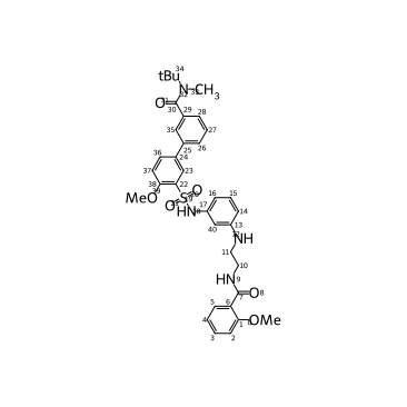 COc1ccccc1C(=O)NCCNc1cccc(NS(=O)(=O)c2cc(-c3cccc(C(=O)N(C)C(C)(C)C)c3)ccc2OC)c1